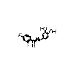 Oc1ccc(C=NNc2ccc(F)cc2F)cc1O